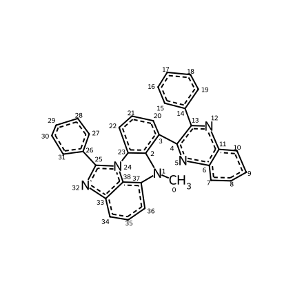 CN1c2c(-c3nc4ccccc4nc3-c3ccccc3)cccc2-n2c(-c3ccccc3)nc3cccc1c32